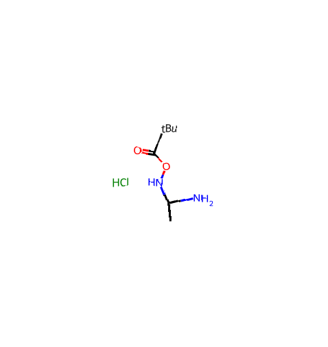 CC(N)NOC(=O)C(C)(C)C.Cl